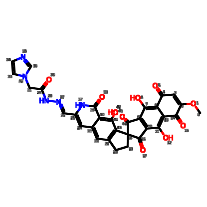 COC1=CC(=O)c2c(O)c3c(c(O)c2C1=O)C(=O)C1(CCc2cc4cc(C=NNC(=O)Cn5ccnc5)[nH]c(=O)c4c(O)c21)C3=O